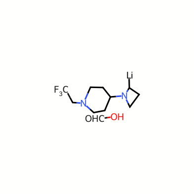 O=CO.[Li][CH]1CCN1C1CCN(CC(F)(F)F)CC1